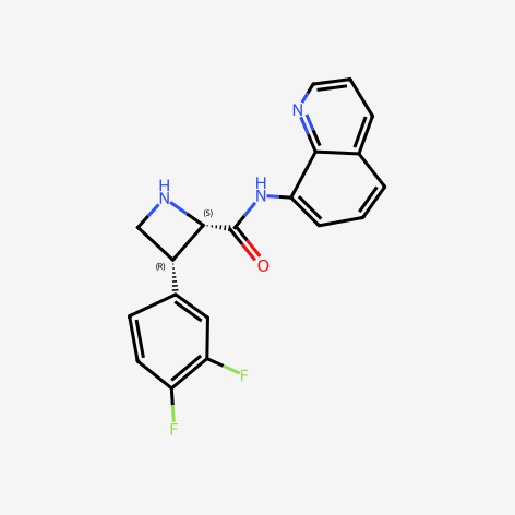 O=C(Nc1cccc2cccnc12)[C@H]1NC[C@H]1c1ccc(F)c(F)c1